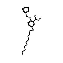 CCCCCCCCCCOc1ccc(OCc2ccccc2)c(C(=O)OC)c1